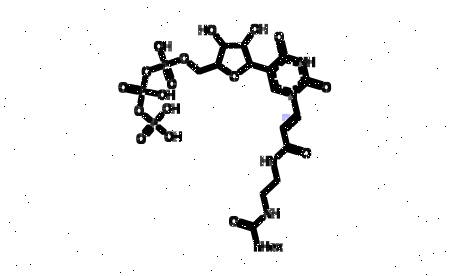 CCCCCCC(=O)NCCNC(=O)/C=C/n1cc(C2OC(COP(=O)(O)OP(=O)(O)OP(=O)(O)O)C(O)C2O)c(=O)[nH]c1=O